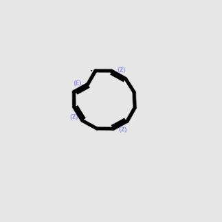 [CH]1/C=C\CC/C=C\C/C=C\C=C\1